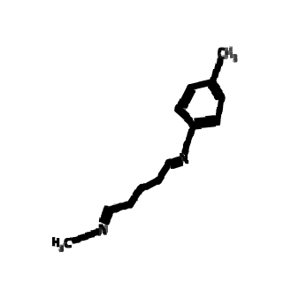 C/N=C/CCC/C=N/c1ccc(C)cc1